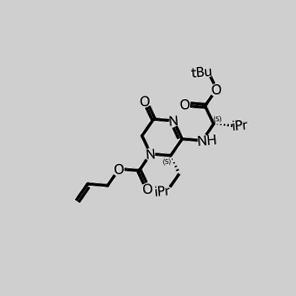 C=CCOC(=O)N1CC(=O)N=C(N[C@H](C(=O)OC(C)(C)C)C(C)C)[C@@H]1CC(C)C